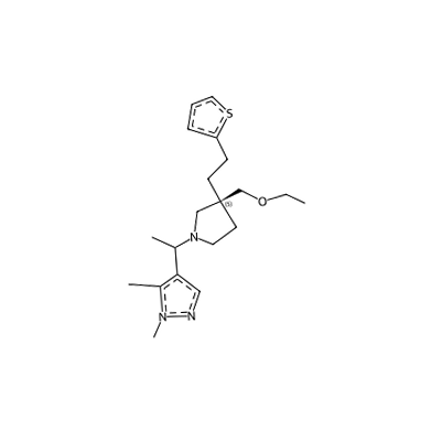 CCOC[C@@]1(CCc2cccs2)CCN(C(C)c2cnn(C)c2C)C1